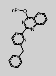 CCCOc1nc(-c2cccc(Cc3ccccc3)n2)nc2ccccc12